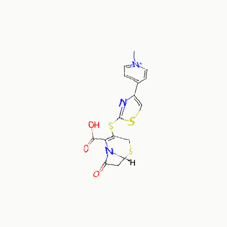 C[n+]1ccc(-c2csc(SC3=C(C(=O)O)N4C(=O)C[C@H]4SC3)n2)cc1